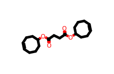 O=C(CCC(=O)OC1CCC=CCCC1)OC1CCC=CCCC1